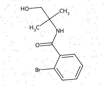 CC(C)(CO)NC(=O)c1ccccc1Br